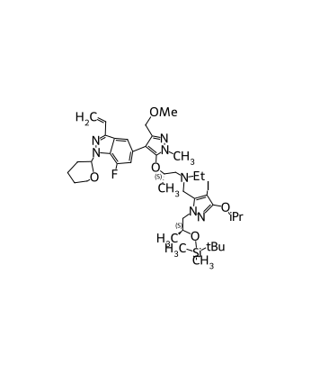 C=Cc1nn(C2CCCCO2)c2c(F)cc(-c3c(COC)nn(C)c3O[C@@H](C)CN(CC)Cc3c(I)c(OC(C)C)nn3C[C@H](C)O[Si](C)(C)C(C)(C)C)cc12